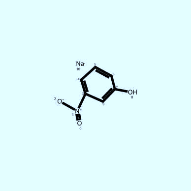 O=[N+]([O-])c1cccc(O)c1.[Na]